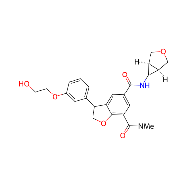 CNC(=O)c1cc(C(=O)NC2[C@H]3COC[C@@H]23)cc2c1OCC2c1cccc(OCCO)c1